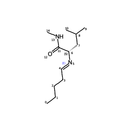 CCCC/C=N/[C@@H](CC(C)C)C(=O)NC